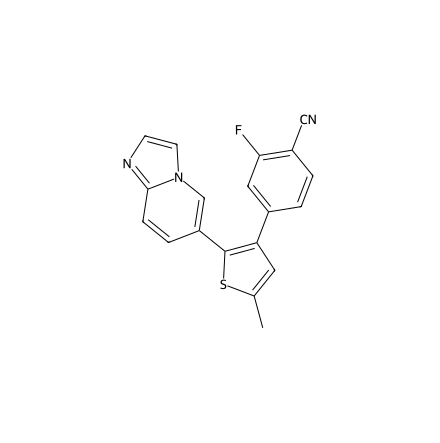 Cc1cc(-c2ccc(C#N)c(F)c2)c(-c2ccc3nccn3c2)s1